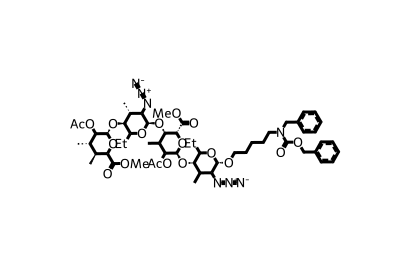 CCC1O[C@H](OCCCCCN(Cc2ccccc2)C(=O)OCc2ccccc2)C(N=[N+]=[N-])C(C)[C@@H]1O[C@@H]1O[C@@H](C(=O)OC)[C@@H](O[C@H]2OC(CC)[C@@H](O[C@@H]3OC(C(=O)OC)[C@@H](C)[C@H](C)C3OC(C)=O)[C@H](C)C2N=[N+]=[N-])C(C)C1OC(C)=O